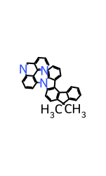 CC1(C)c2ccccc2-c2c1ccc1c2c2ccccc2n1-c1cccc2ncc3cccnc3c12